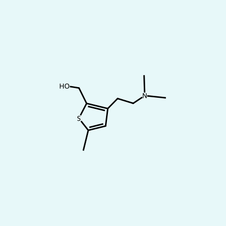 Cc1cc(CCN(C)C)c(CO)s1